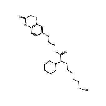 O=C1CCc2cc(OCCCC(=O)N(CCCCCCO)C3CCCCC3)ccc2N1